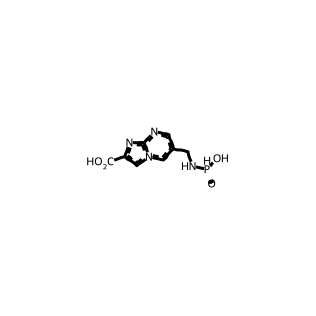 O=C(O)c1cn2cc(CN[PH](=O)O)cnc2n1